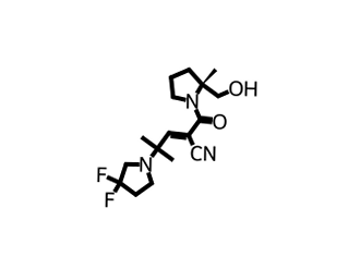 CC(C)(C=C(C#N)C(=O)N1CCC[C@]1(C)CO)N1CCC(F)(F)C1